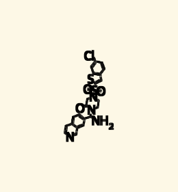 NC(c1ccc2ccncc2c1)N1CCN(S(=O)(=O)c2cc3ccc(Cl)cc3s2)CC1=O